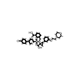 O=C(O)c1cccc(CN([C@]2(C(=O)O)C[C@@H]2c2cccc(OCCN3CCOCC3)c2)S(=O)(=O)c2ccc(-c3ccc(Cl)cc3)cc2)c1